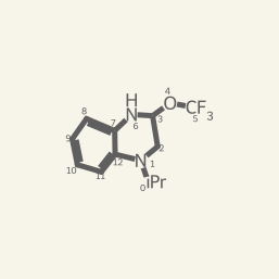 CC(C)N1CC(OC(F)(F)F)Nc2ccccc21